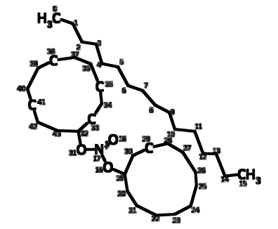 CCCCCCCCCCCCCCCC.O=[N+](OC1CCCCCCCCCCC1)OC1CCCCCCCCCCC1